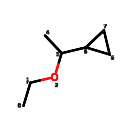 C[CH]OC(C)C1CC1